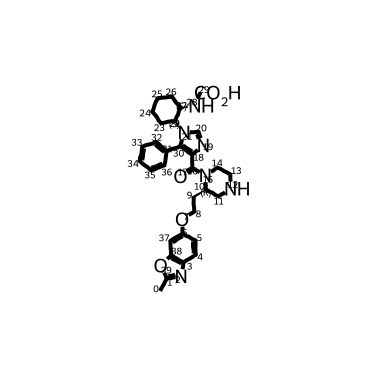 Cc1nc2ccc(OCC[C@@H]3CNCCN3C(=O)c3ncn([C@H]4CCCC[C@@H]4NC(=O)O)c3-c3ccccc3)cc2o1